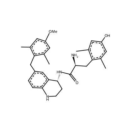 COc1cc(C)c(Cc2ccc3c(c2)[C@H](NC(=O)[C@@H](N)Cc2c(C)cc(O)cc2C)CCN3)c(C)c1